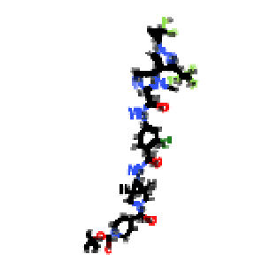 Cn1c(-c2cn(C3CC3(F)F)nc2C(F)(F)F)cnc1C(=O)Nc1ccc(C(=O)N[C@H]2[C@@H]3CN(C(=O)C4CCN(C(=O)OC(C)(C)C)CC4)C[C@@H]32)c(Cl)c1